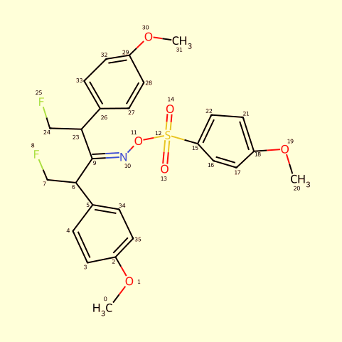 COc1ccc(C(CF)C(=NOS(=O)(=O)c2ccc(OC)cc2)C(CF)c2ccc(OC)cc2)cc1